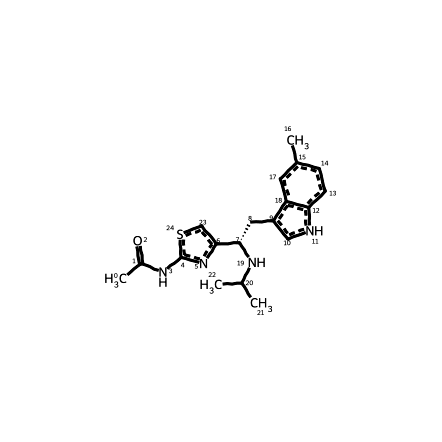 CC(=O)Nc1nc([C@H](Cc2c[nH]c3ccc(C)cc23)NC(C)C)cs1